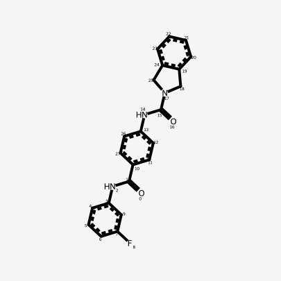 O=C(Nc1cccc(F)c1)c1ccc(NC(=O)N2Cc3ccccc3C2)cc1